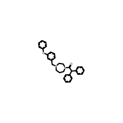 O=C(C(c1ccccc1)c1ccccc1)N1CCCN(Cc2cccc(Oc3ccccc3)c2)CC1